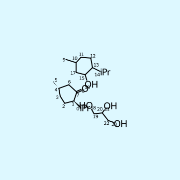 CC(C)[C@H]1CC[C@H](C)CC1=O.CC1CCC(C(C)C)C(O)C1.OCC(O)CO